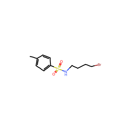 Cc1ccc(S(=O)(=O)NCCCCBr)cc1